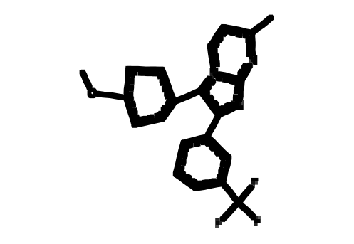 COc1ccc(-c2c(-c3cccc(C(F)(F)F)c3)nc3nc(C)ccn23)cc1